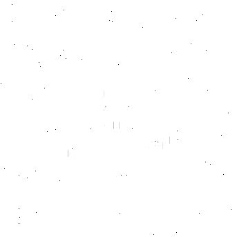 OCC(O)CO.[Al+3].[I-].[I-].[I-]